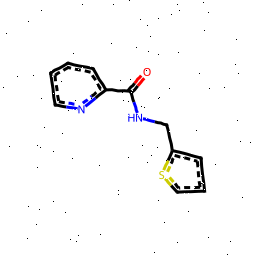 O=C(NCc1cccs1)c1ccccn1